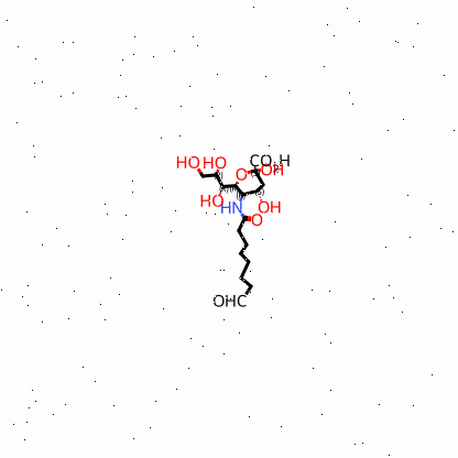 O=CCCCCCCC(=O)N[C@H]1[C@H]([C@H](O)[C@H](O)CO)O[C@](O)(C(=O)O)C[C@@H]1O